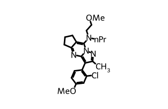 CCCN(CCOC)c1c2c(nc3c(-c4ccc(OC)cc4Cl)c(C)nn13)CCC2